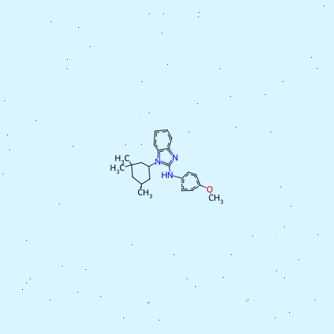 COc1ccc(Nc2nc3ccccc3n2C2C[C@@H](C)CC(C)(C)C2)cc1